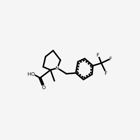 CC1(C(=O)O)CCCCN1Cc1ccc(C(F)(F)F)cc1